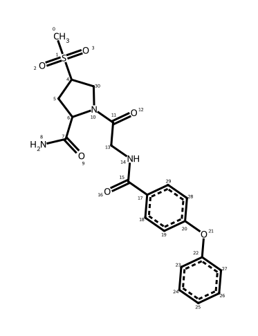 CS(=O)(=O)C1CC(C(N)=O)N(C(=O)CNC(=O)c2ccc(Oc3ccccc3)cc2)C1